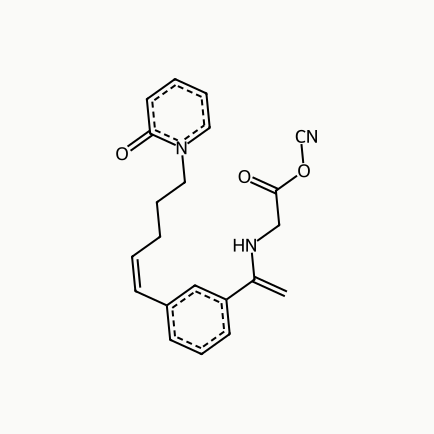 C=C(NCC(=O)OC#N)c1cccc(/C=C\CCCn2ccccc2=O)c1